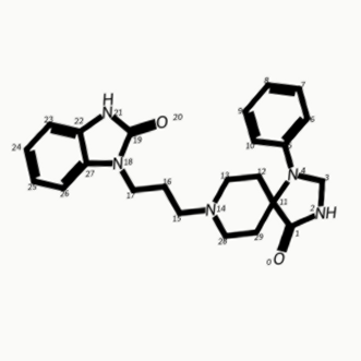 O=C1NCN(c2ccccc2)C12CCN(CCCn1c(=O)[nH]c3ccccc31)CC2